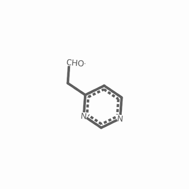 O=[C]Cc1ccncn1